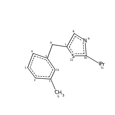 Cc1cccc(Cc2cnc(C(C)C)s2)c1